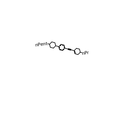 CCCCCC1CCC(c2ccc(C#CC3=CCC(CCC)CC3)cc2)CC1